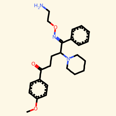 COc1ccc(C(=O)CCC(C(=NOCCN)c2ccccc2)N2CCCCC2)cc1